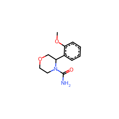 COc1ccccc1C1COCCN1C(N)=O